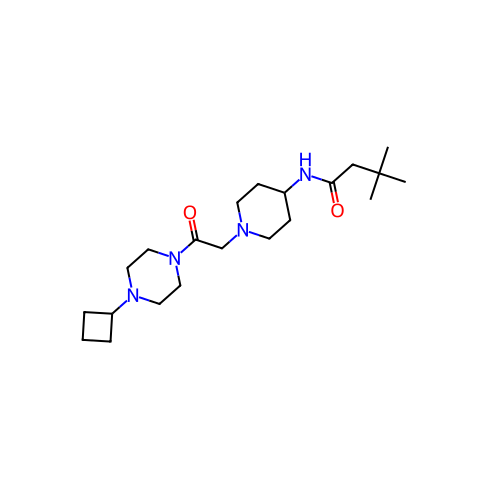 CC(C)(C)CC(=O)NC1CCN(CC(=O)N2CCN(C3CCC3)CC2)CC1